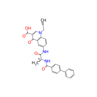 C#CCn1cc(C(=O)O)c(=O)c2cc(NC(=O)[C@H](C)NC(=O)c3ccc(-c4ccccc4)cc3)ccc21